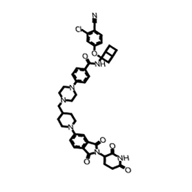 N#Cc1ccc(OC2(NC(=O)c3ccc(N4CCN(CC5CCN(c6ccc7c(c6)C(=O)N(C6CCC(=O)NC6=O)C7=O)CC5)CC4)cc3)CC3CCC32)cc1Cl